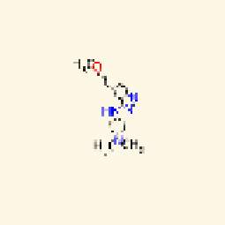 COC/C=C/c1ccc2ncnc(NC3CCC(N(C)C)CC3)c2c1